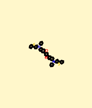 c1ccc(N(c2ccc3cc4c(cc3c2)oc2cc3c(cc24)oc2cc4cc(N(c5ccccc5)c5ccc6c(c5)sc5ccccc56)ccc4cc23)c2ccc3c(c2)sc2ccccc23)cc1